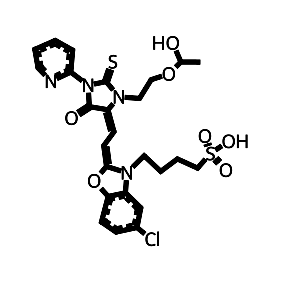 CC(O)OCCN1C(=S)N(c2ccccn2)C(=O)C1=CC=C1Oc2ccc(Cl)cc2N1CCCCS(=O)(=O)O